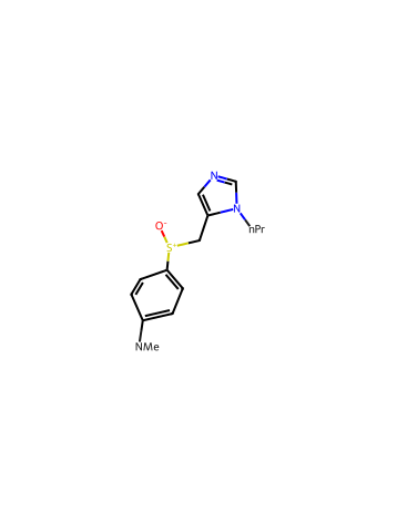 CCCn1cncc1C[S+]([O-])c1ccc(NC)cc1